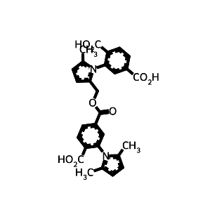 Cc1ccc(C)n1-c1cc(C(=O)OCc2ccc(C)n2-c2cc(C(=O)O)ccc2C(=O)O)ccc1C(=O)O